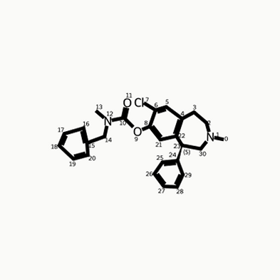 CN1CCc2cc(Cl)c(OC(=O)N(C)Cc3ccccc3)cc2[C@H](c2ccccc2)C1